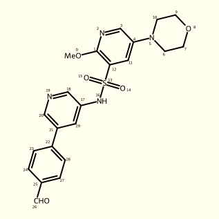 COc1ncc(N2CCOCC2)cc1S(=O)(=O)Nc1cncc(-c2ccc(C=O)cc2)c1